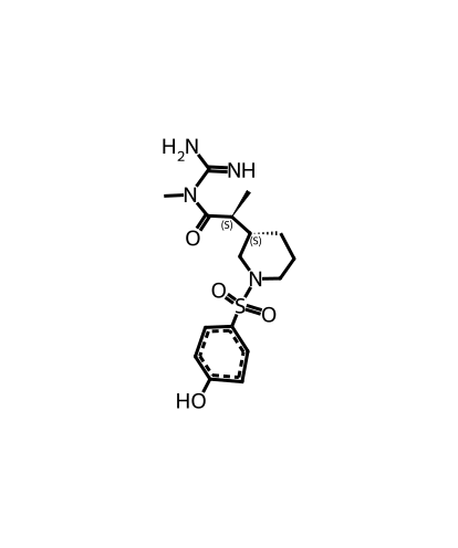 C[C@H](C(=O)N(C)C(=N)N)[C@@H]1CCCN(S(=O)(=O)c2ccc(O)cc2)C1